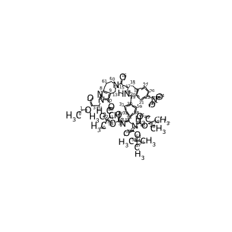 CCOC(=O)Cn1nc2c(c1OC)CN(C(=O)[C@H](Cc1ccc([N+](=O)[O-])cc1)NCc1ccc(C(=NC(=O)OC(C)(C)C)N(C(=O)OC(C)(C)C)C(=O)OC(C)(C)C)cc1)CC2